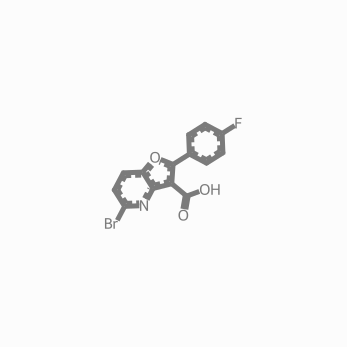 O=C(O)c1c(-c2ccc(F)cc2)oc2ccc(Br)nc12